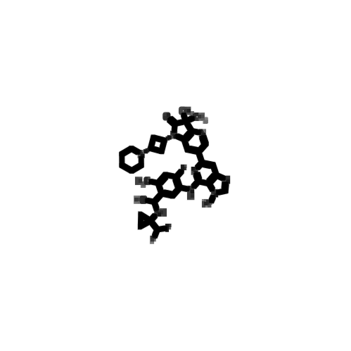 Cc1cc(F)c(Nc2nc(-c3cnc4c(c3)N([C@H]3C[C@@H](N5CCCCC5)C3)C(=O)C4(C)C)cc3ncn(C(C)C)c23)cc1C(O)NC1(C(F)F)CC1